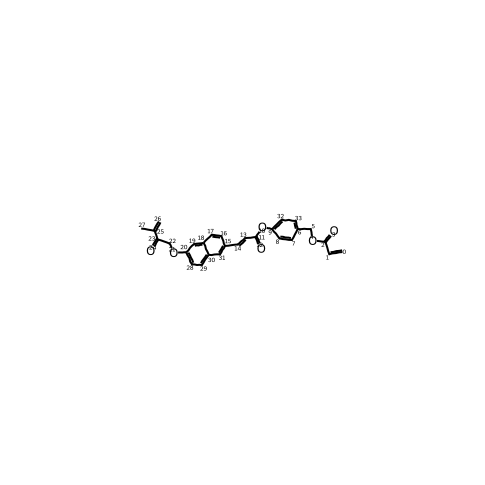 C=CC(=O)OCc1ccc(OC(=O)/C=C/c2ccc3cc(OCC(=O)C(=C)C)ccc3c2)cc1